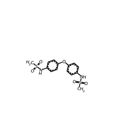 CS(=O)(=O)Nc1ccc(Oc2ccc(NS(C)(=O)=O)cc2)cc1